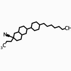 CCCCCCCC1CCC(C2CCC3CC(C#N)(CCC)CCC3C2)CC1